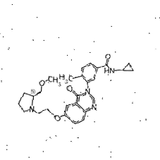 COC[C@@H]1CCCN1CCOc1ccc2ncn(-c3cc(C(=O)NC4CC4)ccc3C)c(=O)c2c1